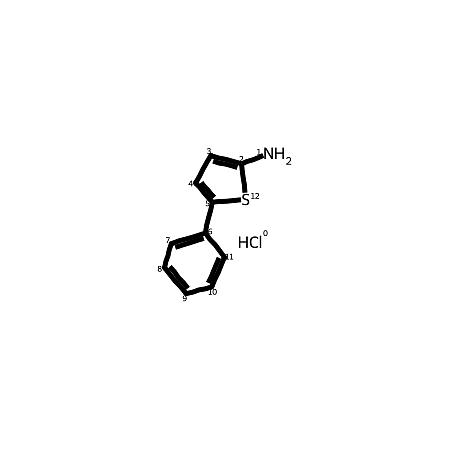 Cl.Nc1ccc(-c2ccccc2)s1